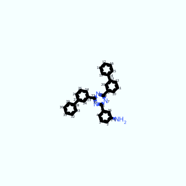 Nc1cccc(-c2nc(-c3cccc(-c4ccccc4)c3)nc(-c3cccc(-c4ccccc4)c3)n2)c1